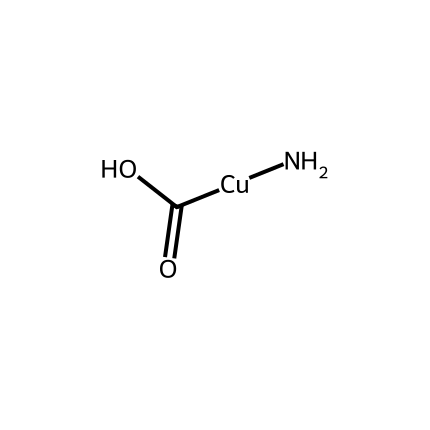 [NH2][Cu][C](=O)O